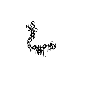 Nc1ncnc2c1c(-c1ccc(CNC(=O)c3ccccn3)cc1)nn2-c1ccc(N2CC[C@H](CN3CCN(c4cc5c(cc4F)C(=O)N([C@H]4CCC(=O)NC4=O)C5)CC3)C2)c(F)c1